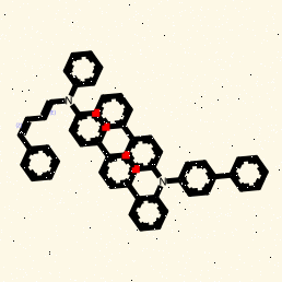 C(=C/c1ccccc1)/C=C/N(c1ccccc1)c1ccc(-c2ccc(-c3ccccc3N(c3ccc(-c4ccccc4)cc3)c3ccc(-c4ccccc4)cc3)cc2)cc1